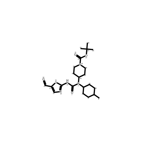 CC1CCC(N(C(=O)Nc2ncc(C=O)s2)C2CCN(C(=O)OC(C)(C)C)CC2)CC1